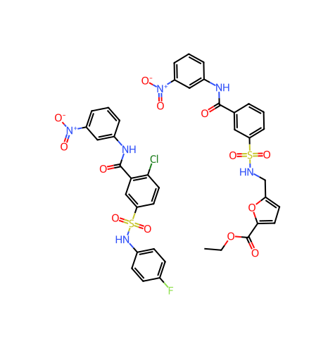 CCOC(=O)c1ccc(CNS(=O)(=O)c2cccc(C(=O)Nc3cccc([N+](=O)[O-])c3)c2)o1.O=C(Nc1cccc([N+](=O)[O-])c1)c1cc(S(=O)(=O)Nc2ccc(F)cc2)ccc1Cl